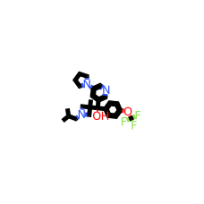 CC(C)CN1CC(C)([C@](O)(c2ccc(OC(F)(F)F)cc2)c2cncc(N3CCCC3)c2)C1